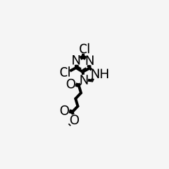 COC(=O)CCCC(=O)N1CNc2nc(Cl)nc(Cl)c21